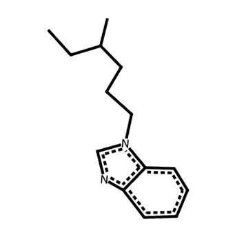 CCC(C)CCCn1cnc2ccccc21